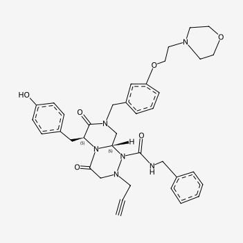 C#CCN1CC(=O)N2[C@@H](Cc3ccc(O)cc3)C(=O)N(Cc3cccc(OCCN4CCOCC4)c3)C[C@@H]2N1C(=O)NCc1ccccc1